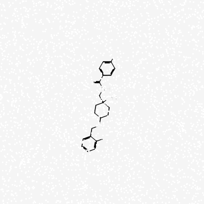 O=C(NCC1(O)CCC(OCc2ccccc2F)CC1)c1ccc(O)cc1